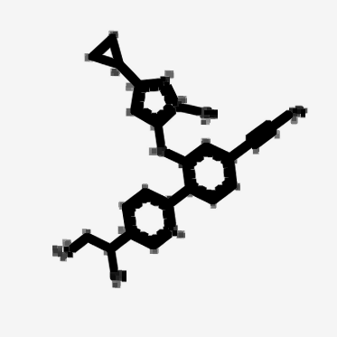 CCCC#Cc1ccc(-c2ccc(C(O)CN)cn2)c(Oc2cc(C3CC3)nn2C(C)(C)C)c1